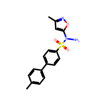 Cc1ccc(-c2ccc(S(=O)(=O)N(N)c3cc(C)no3)cc2)cc1